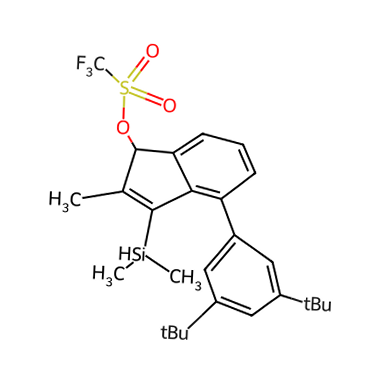 CC1=C([SiH](C)C)c2c(-c3cc(C(C)(C)C)cc(C(C)(C)C)c3)cccc2C1OS(=O)(=O)C(F)(F)F